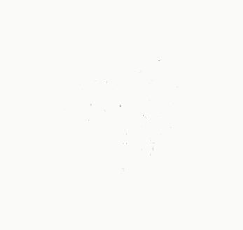 CC(Oc1c(C(=O)NC(Cc2ccccc2)C(=O)O)ccc2ccccc12)c1ccc(C(F)(F)F)cc1